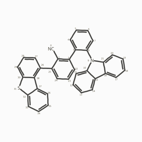 N#Cc1c(-c2ccccc2-n2c3ccccc3c3ccccc32)cccc1-c1cccc2sc3ccccc3c12